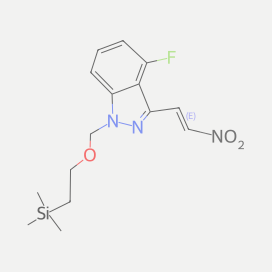 C[Si](C)(C)CCOCn1nc(/C=C/[N+](=O)[O-])c2c(F)cccc21